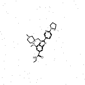 CCNC(=O)c1cc(OC)c2c(c1)nc(-c1ccc(N3CCC[C@@H]3C)nc1)n2C[C@@H]1CN(C)CCO1